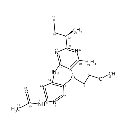 COCCOc1cnc(NC(C)=O)cc1Nc1cc(C)nc([C@H](C)CF)n1